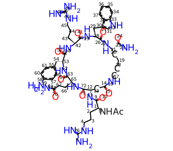 CC(=O)N[C@@H](CCCNC(=N)N)C(=O)N[C@H]1CC(=O)NCCCC[C@@H](C(N)=O)NC(=O)[C@H](Cc2c[nH]c3ccccc23)NC(=O)[C@H](CCCNC(=N)N)NC(=O)[C@@H](Cc2ccc(N)cc2)NC(=O)[C@H](CCC(N)=O)NC1=O